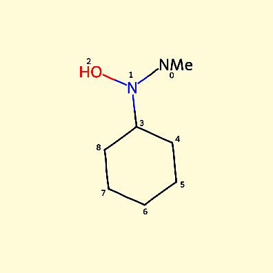 CNN(O)C1CCCCC1